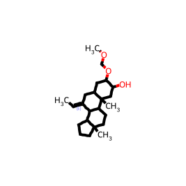 C/C=C1\CC2CC(OCOC)C(O)CC2(C)C2CCC3(C)CCCC3C12